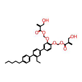 C=C(CO)C(=O)OCOc1ccc(-c2ccc(-c3ccc(CCCCC)cc3)c(CC)c2)cc1OCOC(=O)C(=C)CO